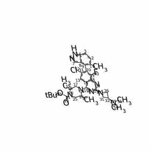 Cc1ccc2[nH]ncc2c1-c1c(Cl)cc2c(N3CC(C)N(C(=O)OC(C)(C)C)CC3C)nc(N3CC(N(C)C)C3)nc2c1F